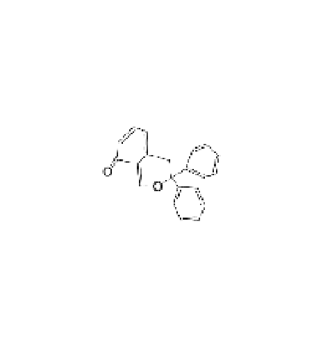 O=C1C=CC=C2CC(c3ccccc3)(c3ccccc3)OC=C12